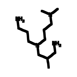 CC(CN)CN(CCCN)CCCN(C)C